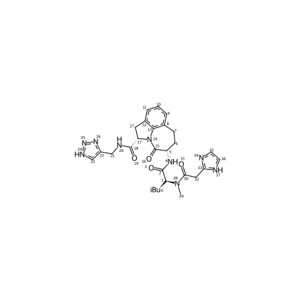 CC[C@H](C)[C@@H](C(=O)N[C@H]1CCc2cccc3c2N(C1=O)[C@H](C(=O)NCc1c[nH]nn1)C3)N(C)C(=O)Cc1ncc[nH]1